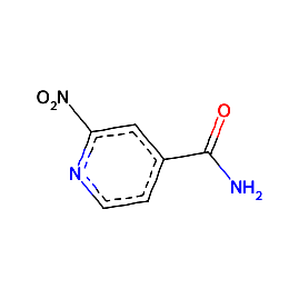 NC(=O)c1ccnc([N+](=O)[O-])c1